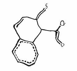 [O]C(=O)C1C(=S)C=Cc2ccccc21